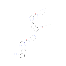 CN1CCC(NC(=O)c2ccnc(-c3ccc4cc(CN5CCC(NC(=O)c6ccnc(-c7ccc8cccc(N)c8c7)n6)CC5)cc(NC(=O)CCCCl)c4c3)n2)CC1